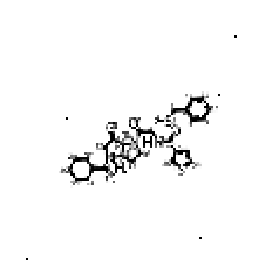 O=C(N[C@@H](CSCc1ccccc1)C(=O)N1CC[C@@H]2[C@H]1C(=O)CN2C(=O)C1CCCCC1)c1ccsc1